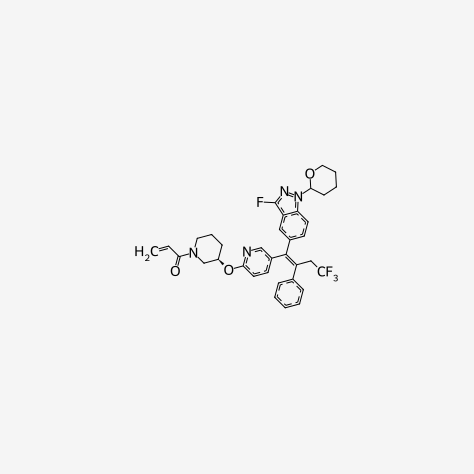 C=CC(=O)N1CCC[C@@H](Oc2ccc(/C(=C(/CC(F)(F)F)c3ccccc3)c3ccc4c(c3)c(F)nn4C3CCCCO3)cn2)C1